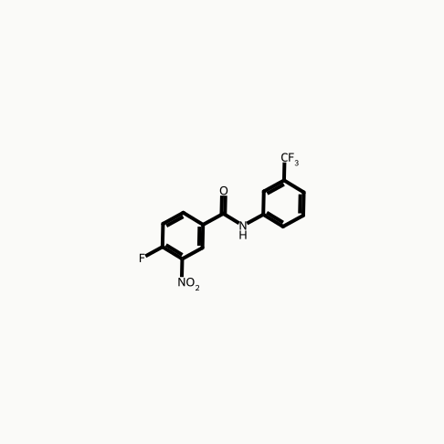 O=C(Nc1cccc(C(F)(F)F)c1)c1ccc(F)c([N+](=O)[O-])c1